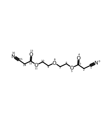 N#CCC(=O)OCCOCCOC(=O)CC#N